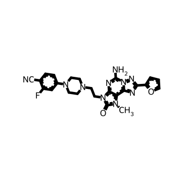 Cn1c(=O)n(CCN2CCN(c3ccc(C#N)c(F)c3)CC2)c2nc(N)n3nc(-c4ccco4)nc3c21